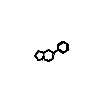 c1ccc(N2CCN3CCCC3C2)cc1